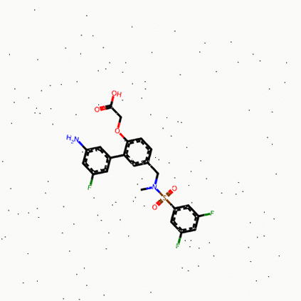 CN(Cc1ccc(OCC(=O)O)c(-c2cc(N)cc(F)c2)c1)S(=O)(=O)c1cc(F)cc(F)c1